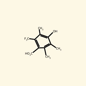 Cc1c(C)c(C(=O)O)c(C(F)(F)F)c(C)c1O